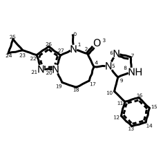 CN1C(=O)C(N2N=CNC2Cc2ccccc2)CCCn2nc(C3CC3)cc21